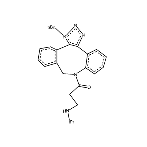 CCCCn1nnc2c1-c1ccccc1CN(C(=O)CCNC(C)C)c1ccccc1-2